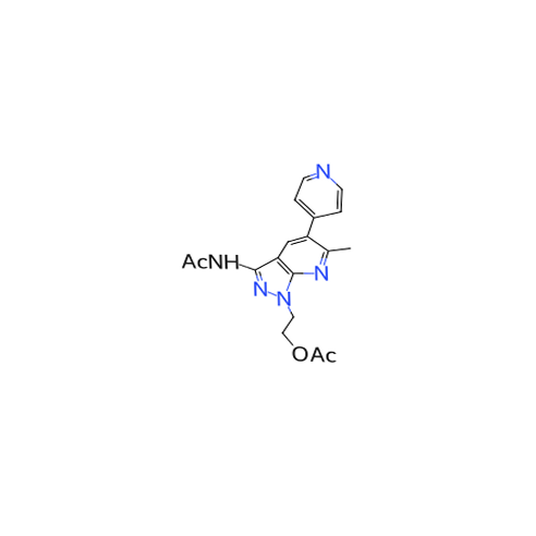 CC(=O)Nc1nn(CCOC(C)=O)c2nc(C)c(-c3ccncc3)cc12